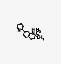 CC1(C)C=Cc2ccc(-c3ccccn3)cc2N1